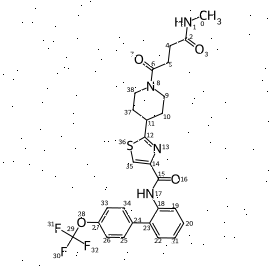 CNC(=O)CCC(=O)N1CCC(c2nc(C(=O)Nc3ccccc3-c3ccc(OC(F)(F)F)cc3)cs2)CC1